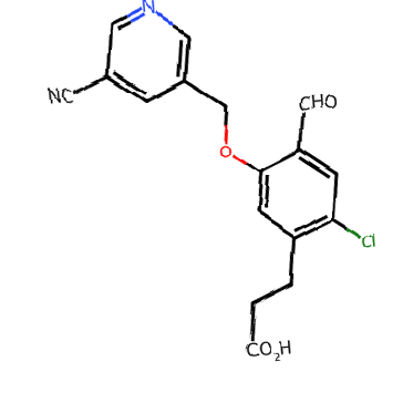 N#Cc1cncc(COc2cc(CCC(=O)O)c(Cl)cc2C=O)c1